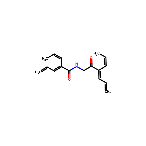 C=C/C=C(\C=C/C)C(=O)CNC(=O)C(/C=C\C)=C/C=C